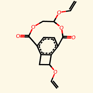 C=COC1COC(=O)c2ccc(c3c2CC3OC=C)C(=O)O1